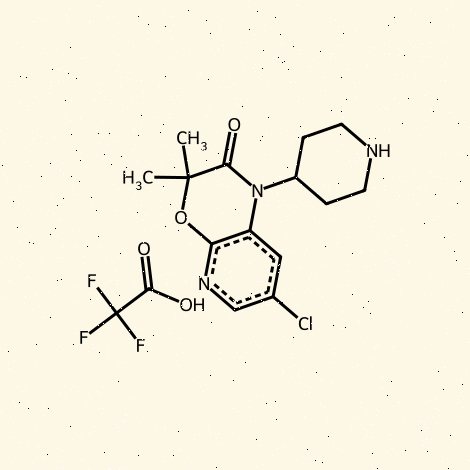 CC1(C)Oc2ncc(Cl)cc2N(C2CCNCC2)C1=O.O=C(O)C(F)(F)F